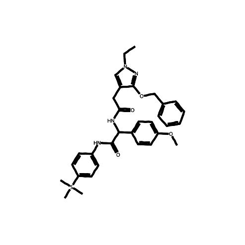 CCn1cc(CC(=O)NC(C(=O)Nc2ccc(S(C)(C)C)cc2)c2ccc(OC)cc2)c(OCc2ccccc2)n1